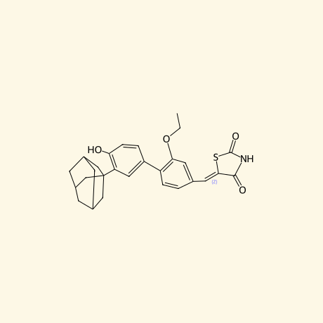 CCOc1cc(/C=C2\SC(=O)NC2=O)ccc1-c1ccc(O)c(C23CC4CC(CC(C4)C2)C3)c1